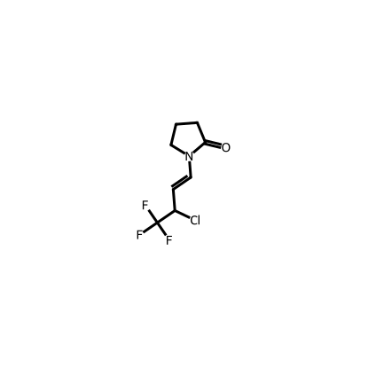 O=C1CCCN1/C=C/C(Cl)C(F)(F)F